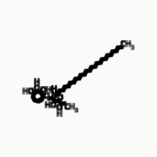 CCCCCCCCCCCCCCCCCCCCCCCCCC(=O)NC(COC1/C=C\CCC(O)C(O)C1O)C(O)CC(O)CC